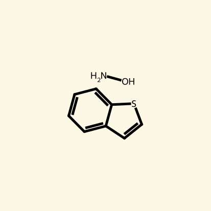 NO.c1ccc2sccc2c1